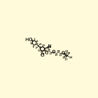 CC(C)(c1ccc(O)cc1)c1cc(Cl)c(OCCOCCCO[Si](C)(C)C(C)(C)C)c(C#N)c1